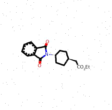 CCOC(=O)C[C@H]1CC[C@H](N2C(=O)c3ccccc3C2=O)CC1